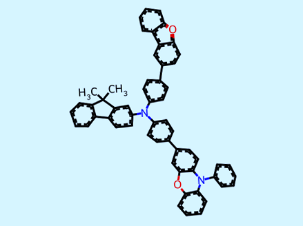 CC1(C)c2ccccc2-c2ccc(N(c3ccc(-c4ccc5c(c4)Oc4ccccc4N5c4ccccc4)cc3)c3ccc(-c4ccc5oc6ccccc6c5c4)cc3)cc21